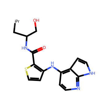 CC(C)CC(CO)NC(=O)c1sccc1Nc1ccnc2[nH]ccc12